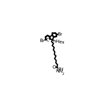 CCCCCCC1(CCCCCCCCCCCCC(=O)NN)c2cc(Br)ccc2-c2ccc(Br)cc21